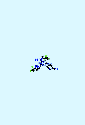 CC(Nc1nc(Nc2ccnc(C#N)c2)nc(-n2ccc(C(F)(F)F)n2)n1)C(F)(F)F